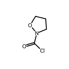 O=C(Cl)N1CCCO1